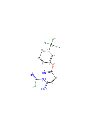 N=C(Cl)NC(=N)/C=C\C(=N)Oc1cccc(C(F)(F)F)c1